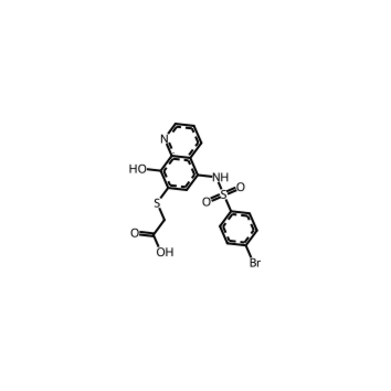 O=C(O)CSc1cc(NS(=O)(=O)c2ccc(Br)cc2)c2cccnc2c1O